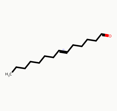 CCCCCCC/C=C/CCCCC=O